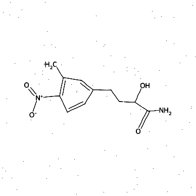 [CH2]c1cc(CCC(O)C(N)=O)ccc1[N+](=O)[O-]